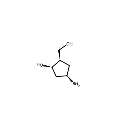 B[C@@H]1C[C@H](CO)[C@H](O)C1